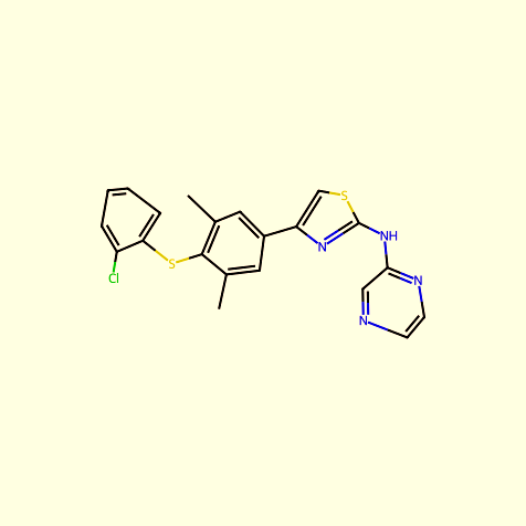 Cc1cc(-c2csc(Nc3cnccn3)n2)cc(C)c1Sc1ccccc1Cl